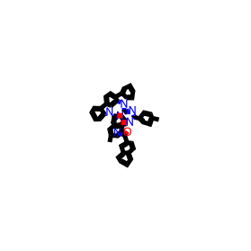 Cc1ccc(-c2nc(-c3ccc(C)cc3)nc(-n3c4ccccc4c4ccc5c6ccccc6n(-c6ccc7oc(-c8ccc9ccccc9c8)nc7c6)c5c43)n2)cc1